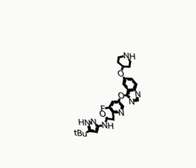 CC(C)(C)c1cc(NC(=O)Cc2ncc(Oc3ncnc4ccc(OC5CCNCC5)cc34)cc2F)n[nH]1